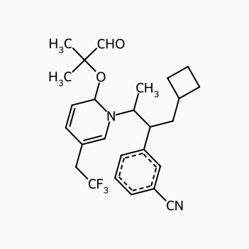 CC(C(CC1CCC1)c1cccc(C#N)c1)N1C=C(CC(F)(F)F)C=CC1OC(C)(C)C=O